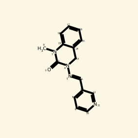 CN1C(=O)N(/N=C/c2cccnc2)Cc2ccccc21